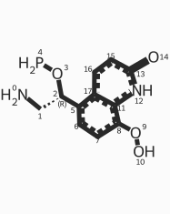 NC[C@H](OP)c1ccc(OO)c2[nH]c(=O)ccc12